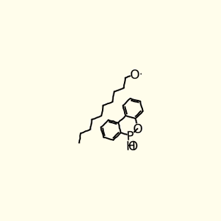 CCCCCCCCCC[O].O=[PH]1Oc2ccccc2-c2ccccc21